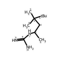 CC(CC(C)(C)C(C)(C)C)NC(=N)N